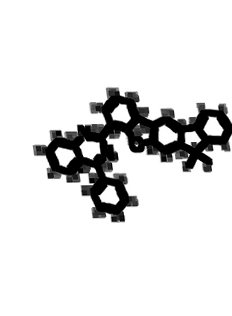 CC1(C)c2ccccc2-c2cc3c(cc21)oc1c(-c2nc(-c4ccccc4)c4ccccc4n2)cccc13